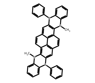 CN1c2ccccc2B(c2ccccc2)c2cc3ccc4c5c(cc6ccc(c21)c3c64)B(c1ccccc1)c1ccccc1N5C